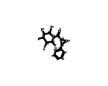 CC1C(F)C(F)N(C(=O)N2OC2c2ccccc2)C(F)C1F